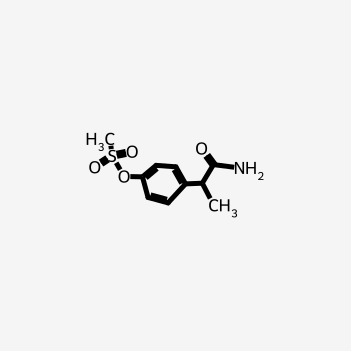 CC(C(N)=O)c1ccc(OS(C)(=O)=O)cc1